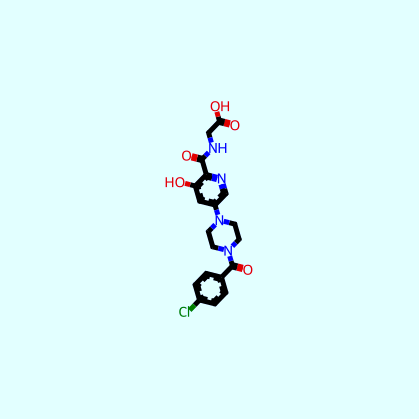 O=C(O)CNC(=O)c1ncc(N2CCN(C(=O)c3ccc(Cl)cc3)CC2)cc1O